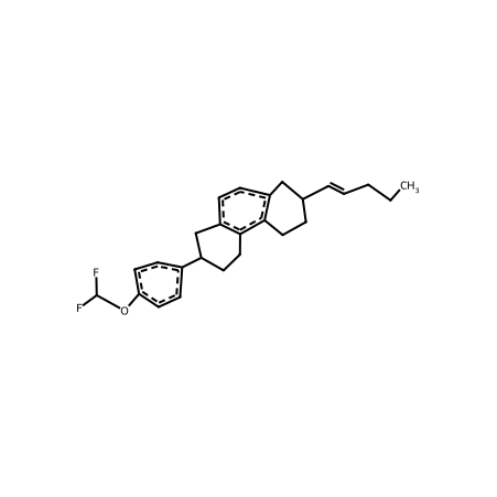 CCCC=CC1CCc2c(ccc3c2CCC(c2ccc(OC(F)F)cc2)C3)C1